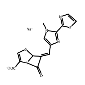 Cn1cc(/C=C2/C(=O)N3C(C(=O)[O-])=CSC23)nc1-c1nccs1.[Na+]